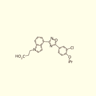 CC(C)Oc1ccc(-c2nc(-c3cccc4c3ccn4CCC(=O)O)no2)cc1Cl